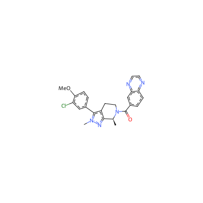 COc1ccc(-c2c3c(nn2C)[C@H](C)N(C(=O)c2ccc4nccnc4c2)CC3)cc1Cl